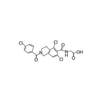 O=C(O)CNC(=O)c1c(Cl)cc2c(c1Cl)CCN(C(=O)c1ccc(Cl)cc1)C2